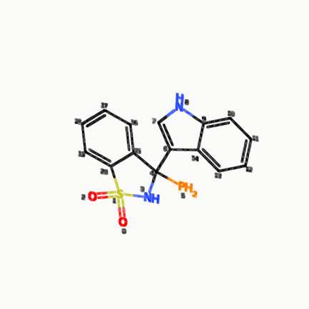 O=S1(=O)NC(P)(c2c[nH]c3ccccc23)c2ccccc21